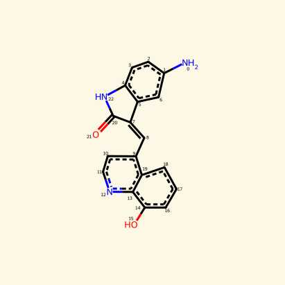 Nc1ccc2c(c1)C(=Cc1ccnc3c(O)cccc13)C(=O)N2